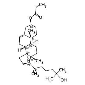 CCC(=O)O[C@H]1CC[C@@]2(C)C(=CC[C@H]3[C@@H]4CC[C@H]([C@H](C)CCCC(C)(C)O)[C@@]4(C)CC[C@@H]32)C1